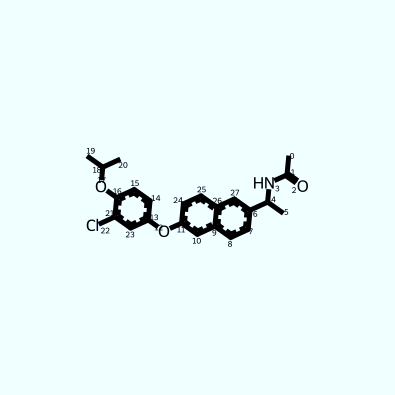 CC(=O)NC(C)c1ccc2cc(Oc3ccc(OC(C)C)c(Cl)c3)ccc2c1